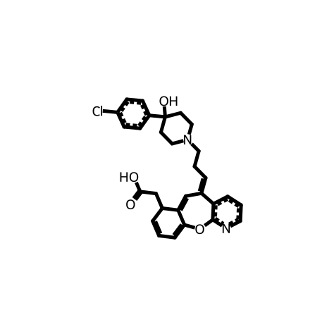 O=C(O)CC1C=CC=C2Oc3ncccc3C(=CCCN3CCC(O)(c4ccc(Cl)cc4)CC3)C=C21